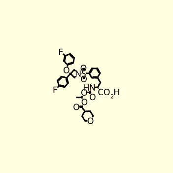 CC(OC(=O)N[C@@H](Cc1cccc(S(=O)(=O)N2CC(Oc3cccc(F)c3)(c3ccc(F)cc3)C2)c1)C(=O)O)OC(=O)C1CCOCC1